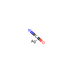 [Ag+].[N-]=C=O